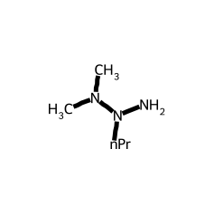 CCCN(N)N(C)C